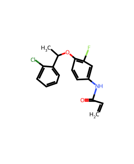 C=CC(=O)Nc1ccc(OC(C)c2ccccc2Cl)c(F)c1